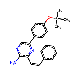 CC(C)(C)[Si](C)(C)Oc1ccc(-c2cnc(N)c(/C=C\c3ccccc3)n2)cc1